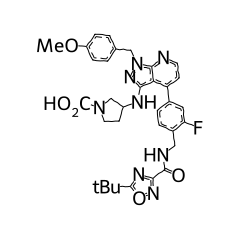 COc1ccc(Cn2nc(NC3CCN(C(=O)O)C3)c3c(-c4ccc(CNC(=O)c5noc(C(C)(C)C)n5)c(F)c4)ccnc32)cc1